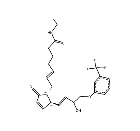 CCNC(=O)CCCC=CC[C@H]1C(=O)C=C[C@@H]1C=CC(O)COc1cccc(C(F)(F)F)c1